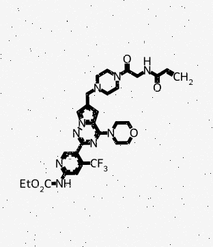 C=CC(=O)NCC(=O)N1CCN(Cc2cc3c(N4CCOCC4)nc(-c4cnc(NC(=O)OCC)cc4C(F)(F)F)nn3c2)CC1